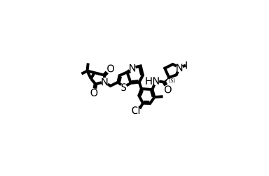 Cc1cc(Cl)cc(-c2ccnc3cc(CN4C(=O)C5C(C4=O)C5(C)C)sc23)c1NC(=O)[C@H]1CCN(I)C1